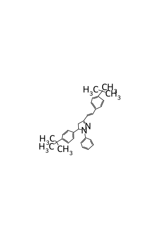 CC(C)(C)c1ccc(C=CC2=NN(c3ccccc3)C(c3ccc(C(C)(C)C)cc3)C2)cc1